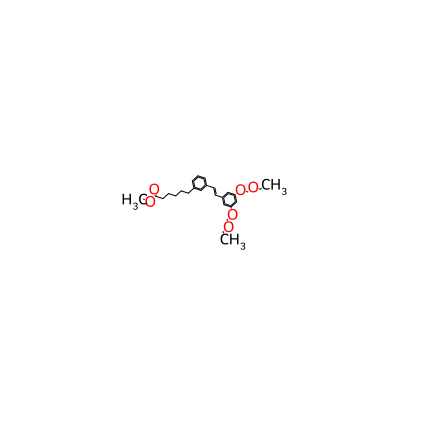 CCOCOc1cc(C=Cc2cccc(CCCCCC(=O)OC)c2)cc(OCOCC)c1